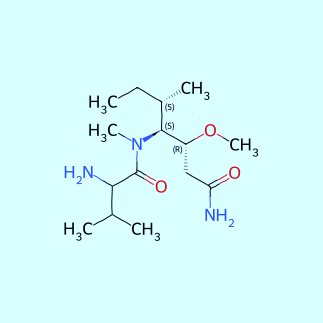 CC[C@H](C)[C@@H]([C@@H](CC(N)=O)OC)N(C)C(=O)C(N)C(C)C